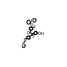 O=C(c1ccc(OC2CCCCC2N2CCCCC2)c(F)c1)c1c(-c2ccc(OCCN3CCCC3)cc2)sc2cc(O)ccc12